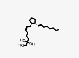 CCCCCC/C=C/[C@H]1CCC[C@@H]1C/C=C\CCCC(O)(O)CO